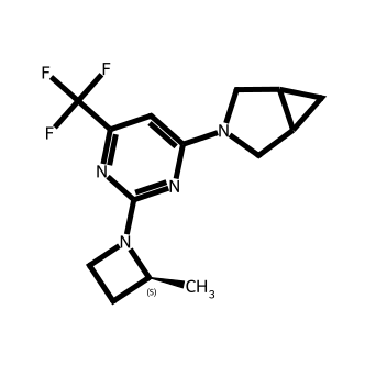 C[C@H]1CCN1c1nc(N2CC3CC3C2)cc(C(F)(F)F)n1